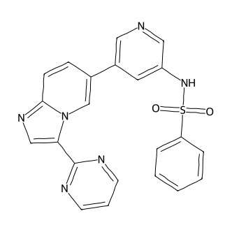 O=S(=O)(Nc1cncc(-c2ccc3ncc(-c4ncccn4)n3c2)c1)c1ccccc1